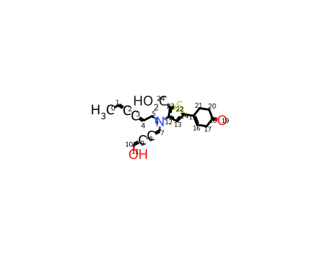 CC=C=C=CCN(C=C=C=CO)c1cc(C2=CCC(=O)CC2)sc1C(=O)O